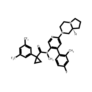 Cc1cc(F)ccc1-c1cc(N2CCN3CCC[C@H]3C2)ncc1N(C)C(=O)C1(c2cc(C(F)(F)F)cc(C(F)(F)F)c2)CC1